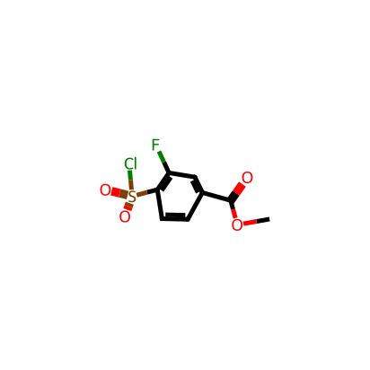 COC(=O)c1ccc(S(=O)(=O)Cl)c(F)c1